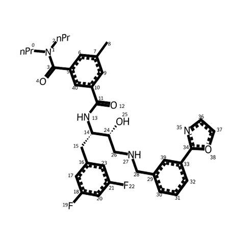 CCCN(CCC)C(=O)c1cc(C)cc(C(=O)N[C@@H](Cc2cc(F)cc(F)c2)[C@H](O)CNCc2cccc(-c3ncco3)c2)c1